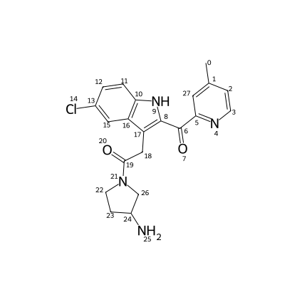 Cc1ccnc(C(=O)c2[nH]c3ccc(Cl)cc3c2CC(=O)N2CCC(N)C2)c1